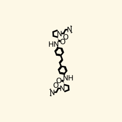 CN(C)CC(=O)N1CCC[C@H]1C(=O)Nc1ccc(/C=C/c2ccc(NC(=O)[C@@H]3CCCN3C(=O)CN(C)C)cc2)cc1